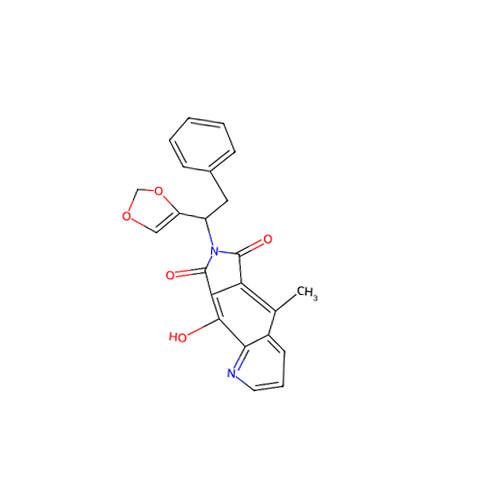 Cc1c2c(c(O)c3ncccc13)C(=O)N(C(Cc1ccccc1)C1=COCO1)C2=O